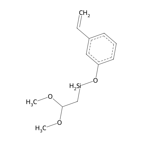 C=Cc1cccc(O[SiH2]CC(OC)OC)c1